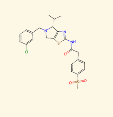 CC(C)[C@@H]1c2nc(NC(=O)Cc3ccc(S(C)(=O)=O)cc3)sc2CN1Cc1cccc(Cl)c1